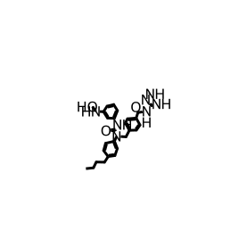 CCCCc1ccc(N(Cc2ccc(C(=O)NC(=N)N=N)cc2)C(=O)Nc2cccc(NO)c2)cc1